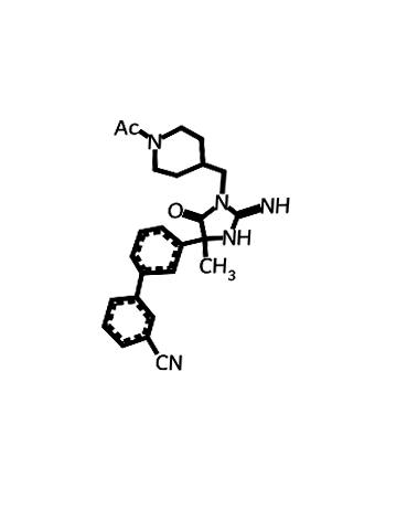 CC(=O)N1CCC(CN2C(=N)NC(C)(c3cccc(-c4cccc(C#N)c4)c3)C2=O)CC1